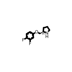 Fc1ccc(OC[C@H]2CCCN2)cc1F